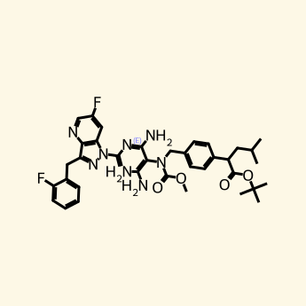 C=C(/N=C(/N)C(=C(N)N)N(Cc1ccc(C(CC(C)C)C(=O)OC(C)(C)C)cc1)C(=O)OC)n1nc(Cc2ccccc2F)c2ncc(F)cc21